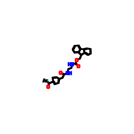 CC(=O)C(=O)c1ccc(CC(=O)NCCNC(=O)OCC2c3ccccc3-c3ccccc32)cc1